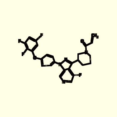 C=CC(=O)N1CCCC(c2nn(-c3ccc(Oc4cc(F)cc(F)c4F)cc3)c3cncc(F)c23)C1